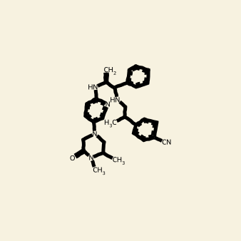 C=C(Nc1ccc(N2CC(=O)N(C)C(C)C2)cn1)C(NCC(C)c1ccc(C#N)cc1)c1ccccc1